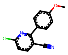 COc1ccc(-c2nc(Cl)ccc2C#N)cc1